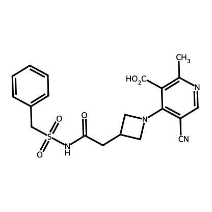 Cc1ncc(C#N)c(N2CC(CC(=O)NS(=O)(=O)Cc3ccccc3)C2)c1C(=O)O